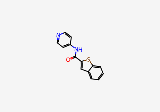 O=C(Nc1ccncc1)c1cc2ccccc2s1